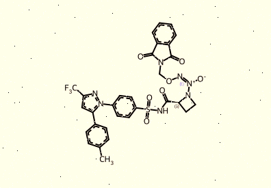 Cc1ccc(-c2cc(C(F)(F)F)nn2-c2ccc(S(=O)(=O)NC(=O)[C@@H]3CCN3/[N+]([O-])=N\OCN3C(=O)c4ccccc4C3=O)cc2)cc1